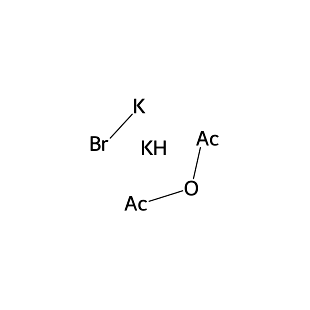 CC(=O)OC(C)=O.[KH].[K][Br]